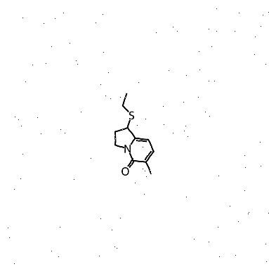 CCSC1CCn2c1ccc(C)c2=O